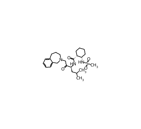 CC(C)C[C@H](NC(=O)[C@@H]1CCCC[C@@H]1NS(C)(=O)=O)C(=O)CN1CCCc2ccccc2C1